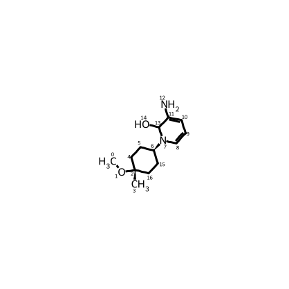 CO[C@]1(C)CC[C@@H](N2C=CC=C(N)C2O)CC1